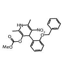 COC(=O)OC1=C(C)NC(C)=C([N+](=O)[O-])C1c1ccccc1OCc1ccccc1